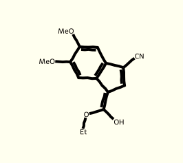 CCOC(O)=C1C=C(C#N)c2cc(OC)c(OC)cc21